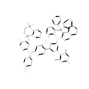 CCCCc1ccc(N(c2ccc(CCCC)cc2)c2ccc3c(c2)N(c2ccc4c(c2)C(C)(C)CCC4(C)C)B2c4cccc5c4N(c4cc(-c6c(C)cc(C)cc6C)cc-3c42)c2ccc3ccccc3c2C5(c2ccccc2)c2ccccc2)cc1